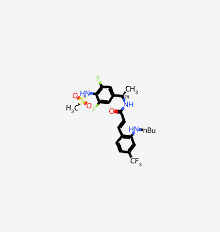 CCCCNc1cc(C(F)(F)F)ccc1C=CC(=O)N[C@H](C)c1cc(F)c(NS(C)(=O)=O)c(F)c1